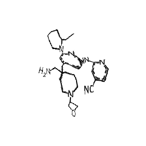 CC1CCCN1c1cc(C2(CN)CCN(C3COC3)CC2)cc(Nc2cc(C#N)ccn2)n1